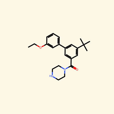 CCOc1cccc(-c2cc(C(=O)N3CCNCC3)cc(C(C)(C)C)c2)c1